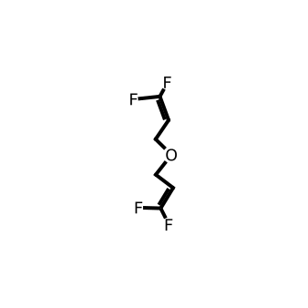 FC(F)=CCOCC=C(F)F